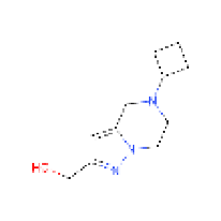 OCc1cc2n(n1)CCN(C1CCC1)C2